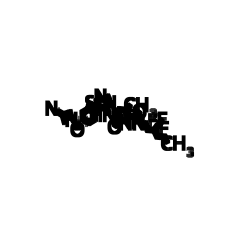 CCCC(CCNC(=O)c1[nH]c(=O)c(Nc2ncnc3sc4c(c23)CC[C@H](C(=O)N2CC(C#N)C2)C4)cc1C)C(F)(F)F